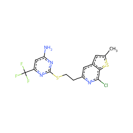 Cc1cc2cc(CCSc3nc(N)cc(C(F)(F)F)n3)nc(Cl)c2s1